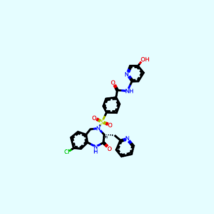 O=C(Nc1ccc(O)cn1)c1ccc(S(=O)(=O)N2Cc3ccc(Cl)cc3NC(=O)[C@H]2Cc2ccccn2)cc1